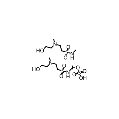 CNS(=O)(=O)CCN(C)CCO.CNS(=O)(=O)CCN(C)CCO.O=S(=O)(O)O